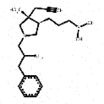 C#CC[C@@]1(C(=O)O)CN(CC(N)Cc2ccccc2)C[C@@H]1CCCB(O)O